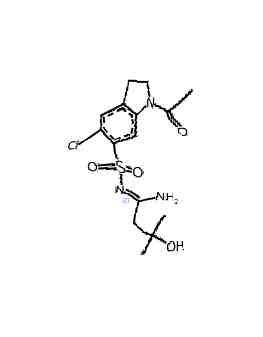 CC(=O)N1CCc2cc(Cl)c(S(=O)(=O)/N=C(\N)CC(C)(C)O)cc21